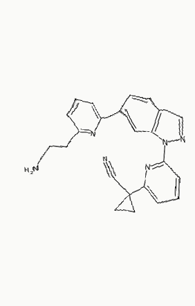 N#CC1(c2cccc(-n3ncc4ccc(-c5cccc(CCN)n5)cc43)n2)CC1